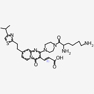 CC(C)c1csc(CCc2ccn3c(=O)c(/C=C/C(=O)O)c(N4CCN(C(=O)C(N)CCCCN)CC4)nc3c2)n1